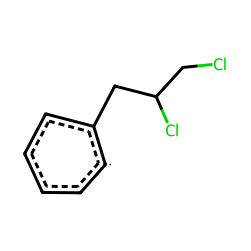 ClCC(Cl)Cc1[c]cccc1